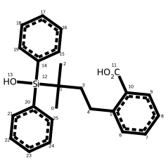 CC(C)(CCc1ccccc1C(=O)O)[Si](O)(c1ccccc1)c1ccccc1